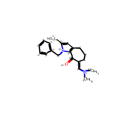 CN(C)/C=C1\CCCc2cc(C(=O)O)n(Cc3ccccc3)c2C1=O